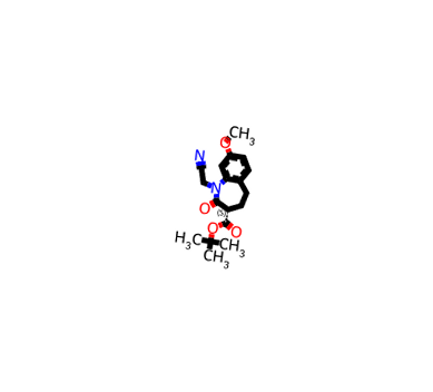 COc1ccc2c(c1)N(CC#N)C(=O)[C@@H](C(=O)OC(C)(C)C)CC2